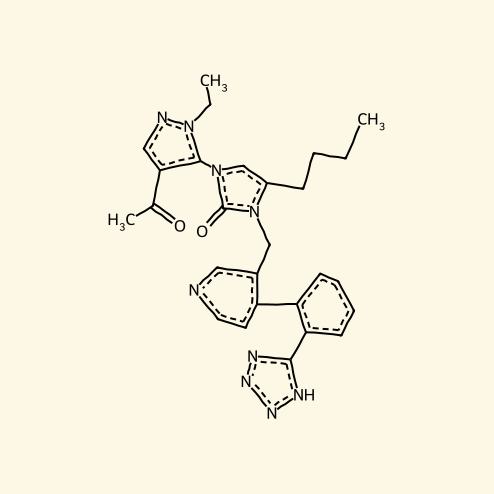 CCCCc1cn(-c2c(C(C)=O)cnn2CC)c(=O)n1Cc1cnccc1-c1ccccc1-c1nnn[nH]1